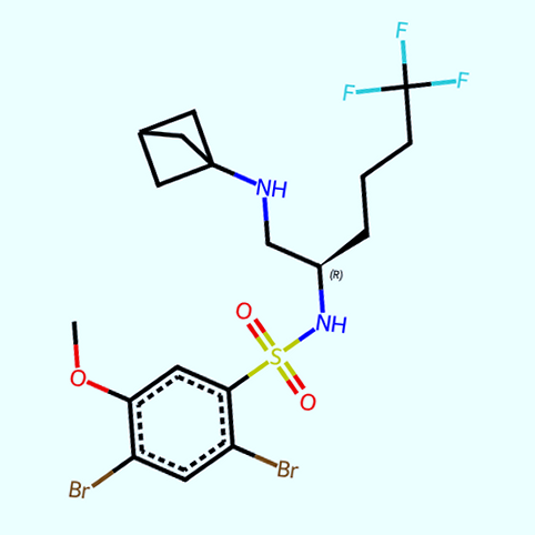 COc1cc(S(=O)(=O)N[C@H](CCCC(F)(F)F)CNC23CC(C2)C3)c(Br)cc1Br